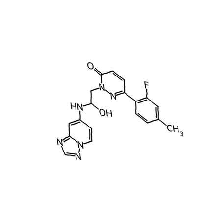 Cc1ccc(-c2ccc(=O)n(CC(O)Nc3ccn4ncnc4c3)n2)c(F)c1